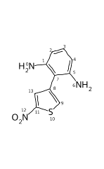 Nc1cccc(N)c1-c1csc([N+](=O)[O-])c1